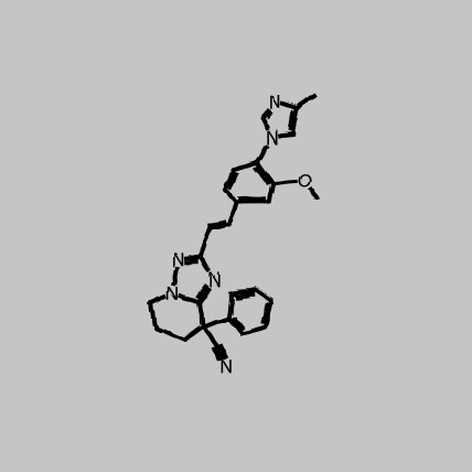 COc1cc(C=Cc2nc3n(n2)CCCC3(C#N)c2ccccc2)ccc1-n1cnc(C)c1